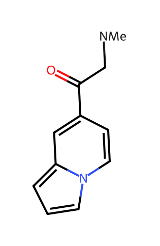 CNCC(=O)c1ccn2cccc2c1